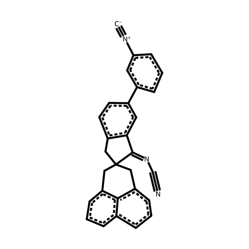 [C-]#[N+]c1cccc(-c2ccc3c(c2)/C(=N/C#N)C2(C3)Cc3cccc4cccc(c34)C2)c1